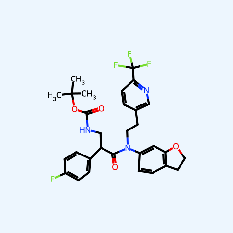 CC(C)(C)OC(=O)NCC(C(=O)N(CCc1ccc(C(F)(F)F)nc1)c1ccc2c(c1)OCC2)c1ccc(F)cc1